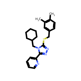 Cc1ccc(CSc2nnc(-c3ccccn3)n2CC2CCCCC2)cc1C